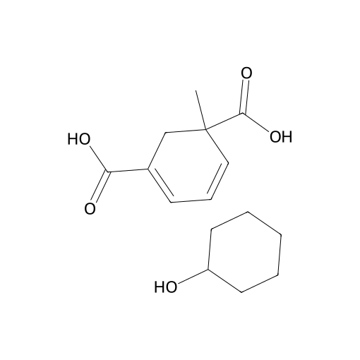 CC1(C(=O)O)C=CC=C(C(=O)O)C1.OC1CCCCC1